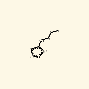 CCCOc1cnon1